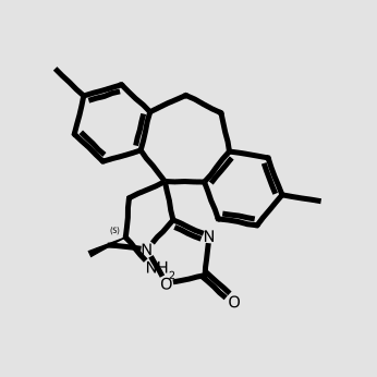 Cc1ccc2c(c1)CCc1cc(C)ccc1C2(C[C@H](C)N)c1nc(=O)on1C